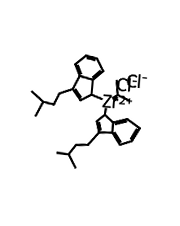 C[C](C)=[Zr+2]([CH]1C=C(CCC(C)C)c2ccccc21)[CH]1C=C(CCC(C)C)c2ccccc21.[Cl-].[Cl-]